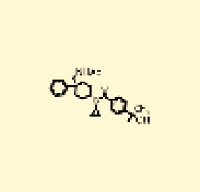 CC(=O)NC[C@]1(c2ccccc2)CC[C@@H](N(C(=O)c2ccc([C@](C)(O)C(F)(F)F)cc2)C2CC2)CC1